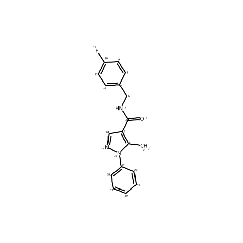 Cc1c(C(=O)NCc2ccc(F)cc2)cnn1-c1ccccc1